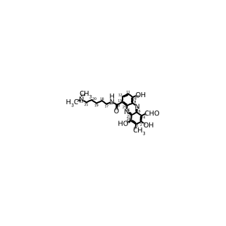 Cc1c(O)c(C=O)c2nc3c(O)ccc(C(=O)NCCCCCN(C)C)c3nc2c1O